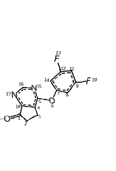 O=C1CCc2c(Oc3cc(F)cc(F)c3)ncnc21